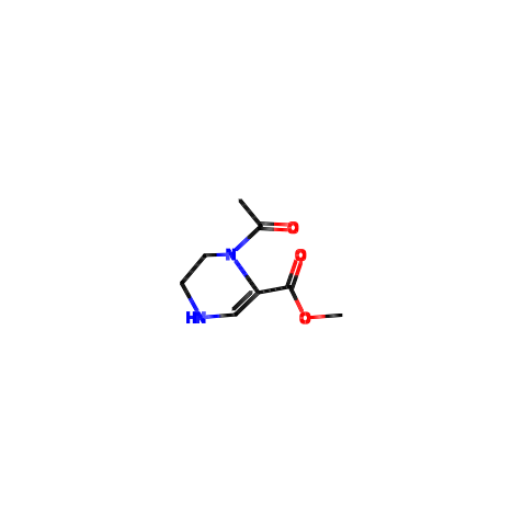 COC(=O)C1=CNCCN1C(C)=O